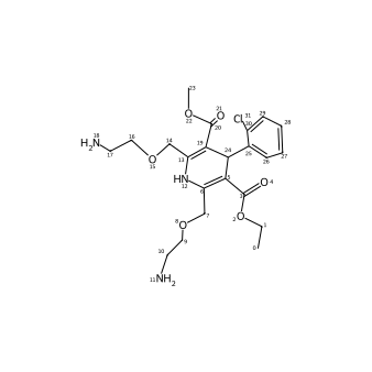 CCOC(=O)C1=C(COCCN)NC(COCCN)=C(C(=O)OC)C1c1ccccc1Cl